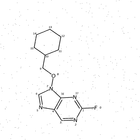 Fc1ncc2ncn(OCC3CCCCC3)c2n1